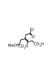 CCC(=O)CC(CCOC)=C(CC(=O)O)C(=O)O